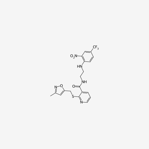 Cc1cc(CSc2ncccc2C(=O)NCCNc2ccc(C(F)(F)F)cc2[N+](=O)[O-])on1